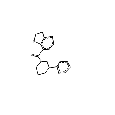 O=C(c1cccc2c1OCC2)N1CCCC(c2ccccc2)C1